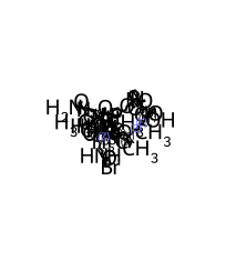 CC[C@H](C)[C@H](C/C=C(C)/C=C/[C@H]1O[C@H](CC(=O)N2CCCCN2C(=O)OCc2ccc(NC(=O)[C@H](CCCNC(N)=O)NC(=O)[C@@H](NC(=O)CCCCCNC(=O)CBr)C(C)C)cc2)C[C@@]2(CO2)[C@@H]1O)O[C@H](C)CNC(=O)/C=C\[C@H](C)OC(C)=O